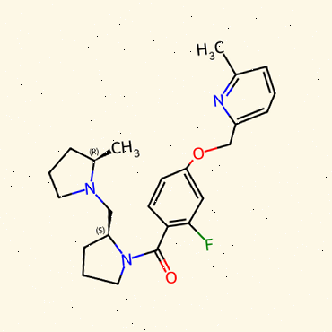 Cc1cccc(COc2ccc(C(=O)N3CCC[C@H]3CN3CCC[C@H]3C)c(F)c2)n1